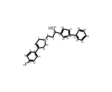 OC(CCN1CC=C(c2ccc(F)cc2)CC1)c1ccc(-c2ccccc2)cc1